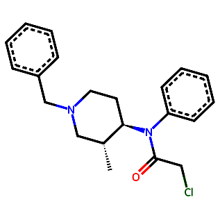 C[C@@H]1CN(Cc2ccccc2)CC[C@H]1N(C(=O)CCl)c1ccccc1